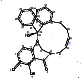 O=C1c2c(O)c(=O)ccn2N2CN1C/C=C\CCc1ccncc1[C@@]2(S)c1ccccc1